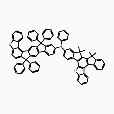 CC1(C)c2cc(N(c3ccccc3)c3ccc4c(c3)C(c3ccccc3)(c3ccccc3)c3cc5c(cc3-4)C(c3ccccc3)(c3ccccc3)c3ccc4oc6ccccc6c4c3-5)ccc2-c2c1c1c(c3c2oc2ccccc23)-c2ccccc2C1(C)C